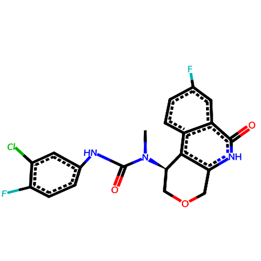 CN(C(=O)Nc1ccc(F)c(Cl)c1)[C@@H]1COCc2[nH]c(=O)c3cc(F)ccc3c21